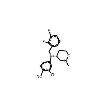 CN1C[C@@H](N(Cc2cccc(F)c2F)c2ccc(C#N)c(Cl)c2)CCO1